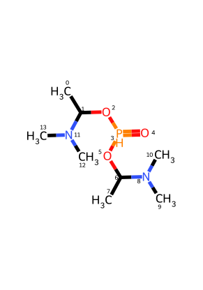 CC(O[PH](=O)OC(C)N(C)C)N(C)C